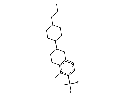 CCCC1CCC(C2CCc3c(ccc(C(F)(F)F)c3F)C2)CC1